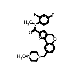 CN1CCN(Cc2ccc3c(c2)-c2sc(C(=O)N(C)c4ccc(F)cc4F)cc2CO3)CC1